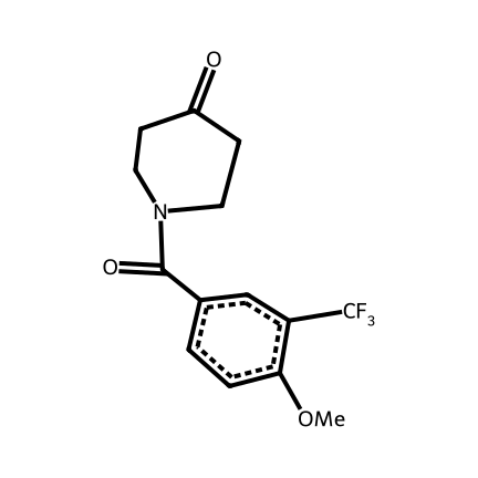 COc1ccc(C(=O)N2CCC(=O)CC2)cc1C(F)(F)F